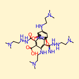 CN(C)CCNNC(=N)c1c(NCCN(C)C)c(C(=O)O)c(C(=O)NNCCN(C)C)c2c3c(NCCN(C)C)cc(c(=O)[nH]c3=O)c12